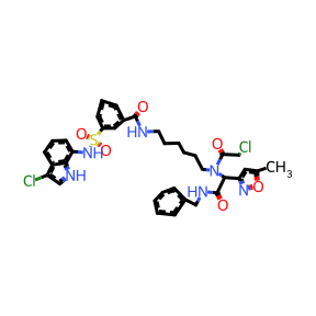 Cc1cc(C(C(=O)NCc2ccccc2)N(CCCCCCNC(=O)c2cccc(S(=O)(=O)Nc3cccc4c(Cl)c[nH]c34)c2)C(=O)CCl)no1